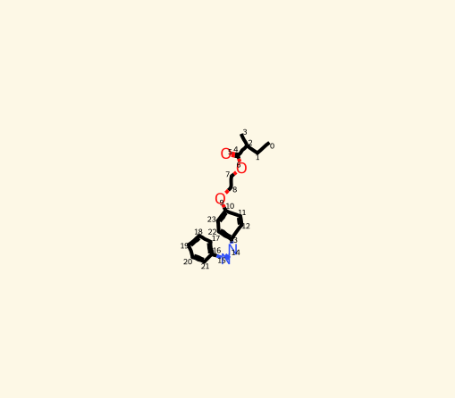 CCC(C)C(=O)OCCOc1ccc(/N=N\c2ccccc2)cc1